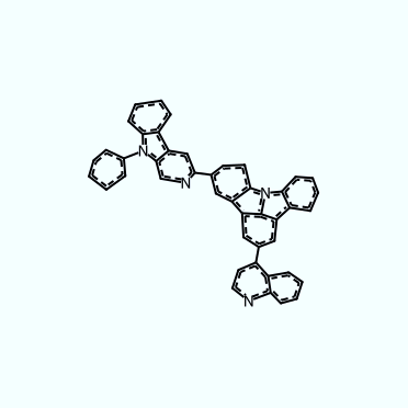 c1ccc(-n2c3ccccc3c3cc(-c4ccc5c(c4)c4cc(-c6ccnc7ccccc67)cc6c7ccccc7n5c64)ncc32)cc1